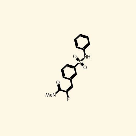 CNC(=O)/C(F)=C\c1cccc(S(=O)(=O)Nc2ccccc2)c1